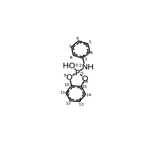 O[P]1(Nc2ccccc2)Oc2ccccc2O1